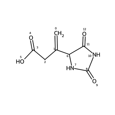 C=C(CC(=O)O)C1NC(=O)NC1=O